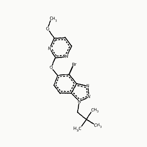 COc1ccnc(Oc2ccc3c(nnn3CC(C)(C)C)c2Br)n1